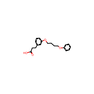 O=C(O)CCc1cccc(OCCCCOc2ccccc2)c1